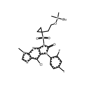 Cn1cnc2c(Cl)c3c(nc21)n(S(=O)(=O)C1(CCO[Si](C)(C)C(C)(C)C)CC1)c(=O)n3-c1ccc(I)cc1F